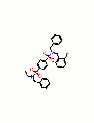 CCN(Cc1ccccc1)S(=O)(=O)c1ccc(S(=O)(=O)N(Cc2ccccc2)Cc2ccccc2F)cc1